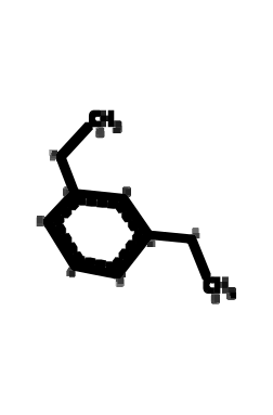 CCc1[c]ccc(CC)c1